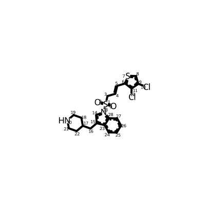 O=S(=O)(CC=Cc1scc(Cl)c1Cl)n1cc(CC2CCNCC2)c2ccccc21